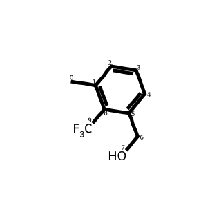 Cc1cccc(CO)c1C(F)(F)F